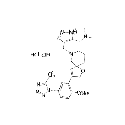 COc1ccc(-n2nnnc2C(F)(F)F)cc1C1=CC2(CCCN(Cc3nn[nH]c3CN(C)C)C2)OC1.Cl.Cl